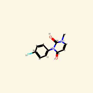 Cn1ccc(=O)n(-c2ccc(F)cc2)c1=O